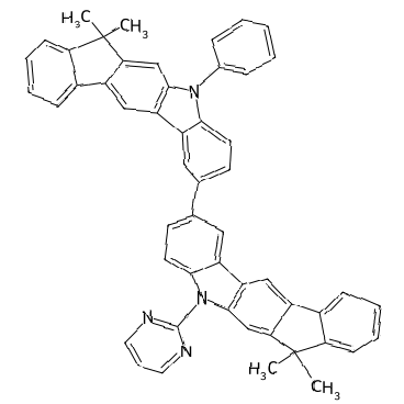 CC1(C)c2ccccc2-c2cc3c4cc(-c5ccc6c(c5)c5cc7c(cc5n6-c5ncccn5)C(C)(C)c5ccccc5-7)ccc4n(-c4ccccc4)c3cc21